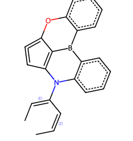 C/C=C\C(=C/C)N1C2=C3B(c4ccccc4OC3=C=C2)c2ccccc21